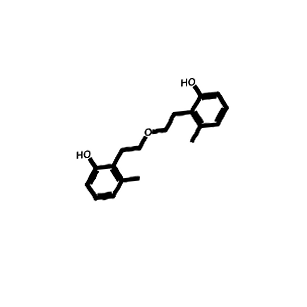 Cc1cccc(O)c1CCOCCc1c(C)cccc1O